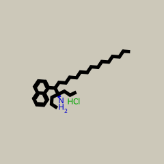 CCCCCCCCCCCCCCC(c1cccc2ccccc12)C(N)(CCC)CCC.Cl